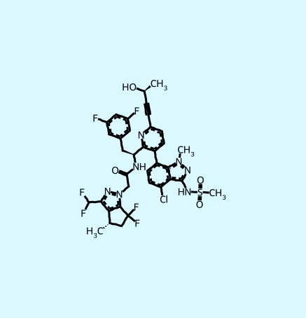 C[C@H](O)C#Cc1ccc(-c2ccc(Cl)c3c(NS(C)(=O)=O)nn(C)c23)c([C@H](Cc2cc(F)cc(F)c2)NC(=O)Cn2nc(C(F)F)c3c2C(F)(F)C[C@@H]3C)n1